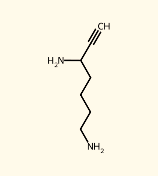 C#CC(N)CCCCN